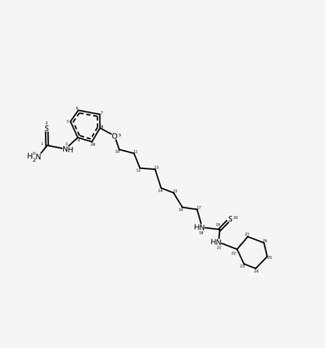 NC(=S)Nc1cccc(OCCCCCCCCNC(=S)NC2CCCCC2)c1